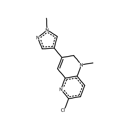 CN1CC(c2cnn(C)c2)=Cc2nc(Cl)ccc21